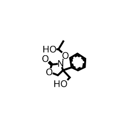 CC(O)ON1C(=O)OCC1(CO)c1ccccc1